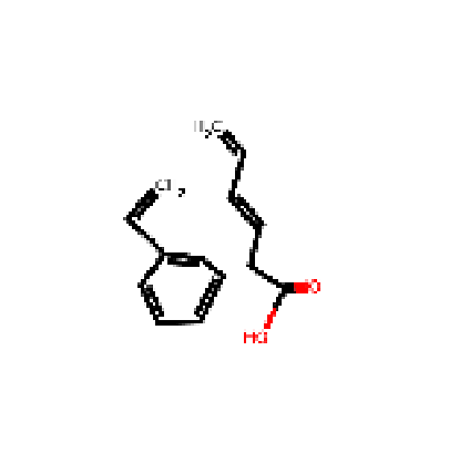 C=CC=CCC(=O)O.C=Cc1ccccc1